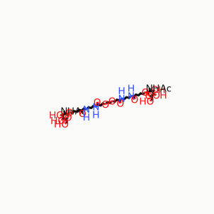 CC(=O)NC1C(OCCCCC(=O)CNCCCNC(=O)CCOCCOCCC(=O)NCCCNC(=O)CCCCOC2OC(CO)C(O)C(O)C2NC(C)=O)OC(CO)C(O)C1O